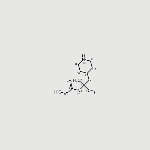 COC(=O)NC(C)(C)CC1CCNCC1